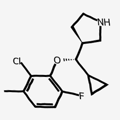 Cc1ccc(F)c(O[C@@H](C2CC2)[C@H]2CCNC2)c1Cl